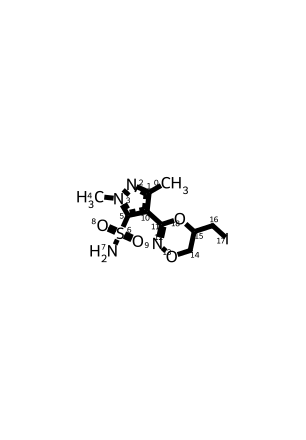 Cc1nn(C)c(S(N)(=O)=O)c1C1=NOCC(CI)O1